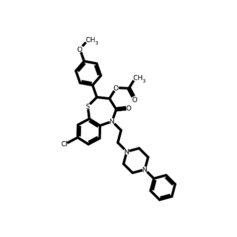 COc1ccc(C2Sc3cc(Cl)ccc3N(CCN3CCN(c4ccccc4)CC3)C(=O)C2OC(C)=O)cc1